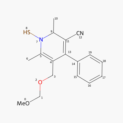 COCOCC1=C(C)N(S)C(C)C(C#N)=C1c1ccccc1